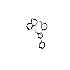 O=C1C=C(c2ccccc2)CN1[C@H]1CCCN(C[C@H]2COc3ccccc3O2)C1